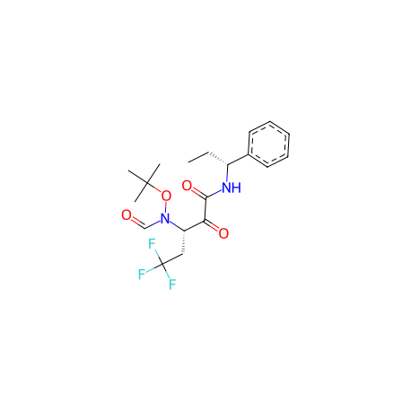 CC[C@@H](NC(=O)C(=O)[C@H](CC(F)(F)F)N(C=O)OC(C)(C)C)c1ccccc1